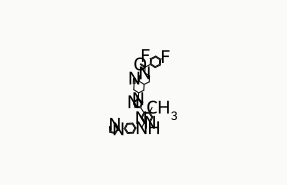 Cc1cnc(Nc2ccc(-n3cccn3)cc2)nc1-c1cnn(C(CC#N)CC2CCN(C(=O)c3ccc(F)cc3F)CC2)c1